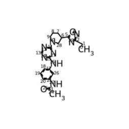 CCc1noc(C2CCCN(c3ncnc(Nc4cccc(NC(C)=O)c4)n3)C2)n1